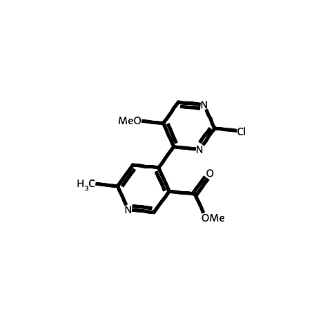 COC(=O)c1cnc(C)cc1-c1nc(Cl)ncc1OC